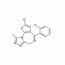 Cc1nnc2n1-c1sc(Cl)cc1C(c1ccccc1F)=NC2